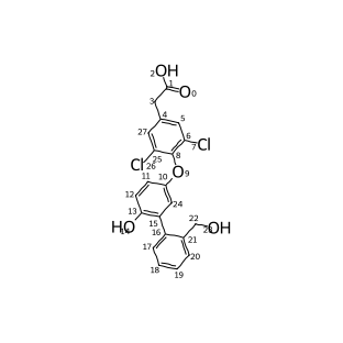 O=C(O)Cc1cc(Cl)c(Oc2ccc(O)c(-c3ccccc3CO)c2)c(Cl)c1